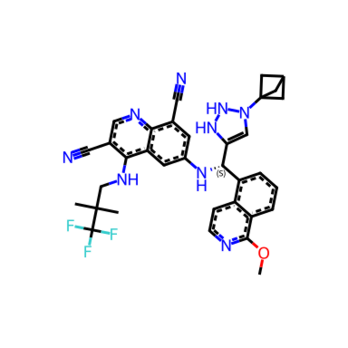 COc1nccc2c([C@H](Nc3cc(C#N)c4ncc(C#N)c(NCC(C)(C)C(F)(F)F)c4c3)C3=CN(C45CC(C4)C5)NN3)cccc12